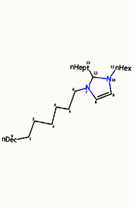 CCCCCCCCCCCCCCCCN1C=CN(CCCCCC)C1CCCCCCC